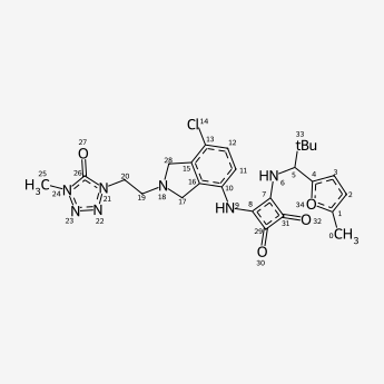 Cc1ccc(C(Nc2c(Nc3ccc(Cl)c4c3CN(CCn3nnn(C)c3=O)C4)c(=O)c2=O)C(C)(C)C)o1